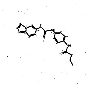 CCCC(=O)Nc1ccc(NC(=O)Nc2ccc3nccn3c2)cc1